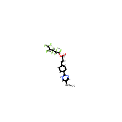 CCCCCCCc1cnc(-c2ccc(C=CC(=O)OC(F)C(F)(F)C(F)(F)C(F)C(F)F)cc2)nc1